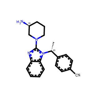 C[C@H](c1ccc(C#N)cc1)n1c(N2CCC[C@H](N)C2)nc2ccccc21